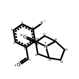 O=Cc1cccc(F)c1N1C2CCC1CC(=O)C2